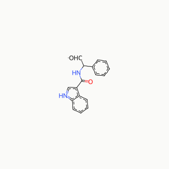 O=[C]C(NC(=O)c1c[nH]c2ccccc12)c1ccccc1